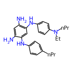 CCCc1ccc(Nc2cc(Nc3ccc(N(CC)CCC)cc3)c(N)cc2N)cc1